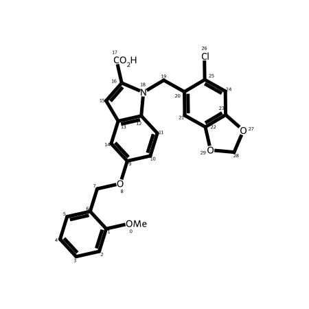 COc1ccccc1COc1ccc2c(c1)cc(C(=O)O)n2Cc1cc2c(cc1Cl)OCO2